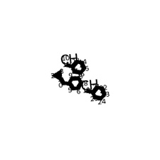 C(=C1CC1)c1ccccc1.C=Cc1ccccc1.C=Cc1ccccc1